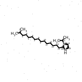 CC(C)CCCCCCCCCCCCCc1[nH]cc[n+]1C(C)C